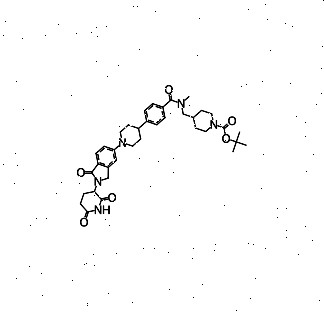 CN(CC1CCN(C(=O)OC(C)(C)C)CC1)C(=O)c1ccc(C2CCN(c3ccc4c(c3)CN(C3CCC(=O)NC3=O)C4=O)CC2)cc1